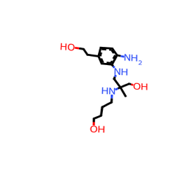 CC(CO)(CNc1cc(CCO)ccc1N)NCCCCO